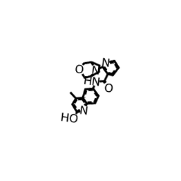 Cc1cc(O)nc2ccc(NC(=O)c3cccnc3N3C4CCC3COC4)cc12